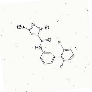 CCn1nc(C(C)(C)C)cc1C(=O)Nc1cccc(-c2c(F)cccc2F)c1